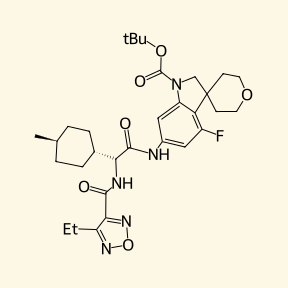 CCc1nonc1C(=O)NC(C(=O)Nc1cc(F)c2c(c1)N(C(=O)OC(C)(C)C)CC21CCOCC1)[C@H]1CC[C@H](C)CC1